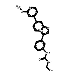 CCNC(=O)Nc1cccc(-c2cnc3cc(-c4ccnc(OC)c4)ccn23)c1